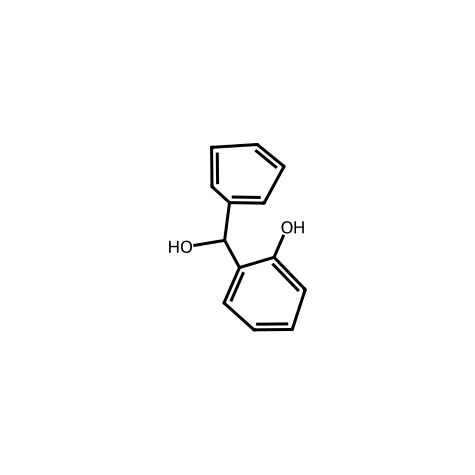 Oc1ccccc1C(O)c1ccccc1